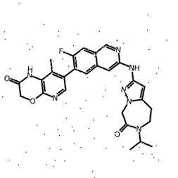 Cc1c(-c2cc3cc(Nc4cc5n(n4)CC(=O)N(C(C)C)CC5)ncc3cc2F)cnc2c1NC(=O)CO2